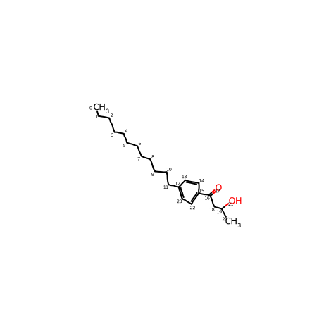 CCCCCCCCCCCCc1ccc(C(=O)CC(C)O)cc1